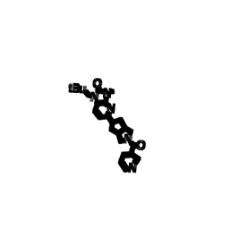 Cn1c(=O)n(CC(C)(C)C)c2ccc(C3CC4CN(C(=O)c5cccnc5)CC4C3)nc21